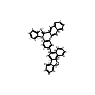 c1ccc2cc(-c3nc4ccccc4n3-c3ccc(-c4cc5c6ccccc6oc5c5ccccc45)cc3)ccc2c1